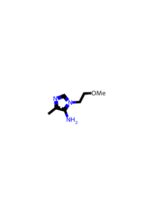 COCCn1cnc(C)c1N